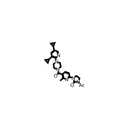 CC(=O)N1CCN(c2ccc(C(=O)N3CCN(c4ncc(C5CC5)cc4C4CC4)CC3)c(C)n2)C1=O